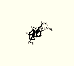 COc1ccc([C@]23C[C@@H]4C[C@H](C2)[C@H](N(C/C=C/CN)C(=O)O)[C@@H](C4)C3)cc1